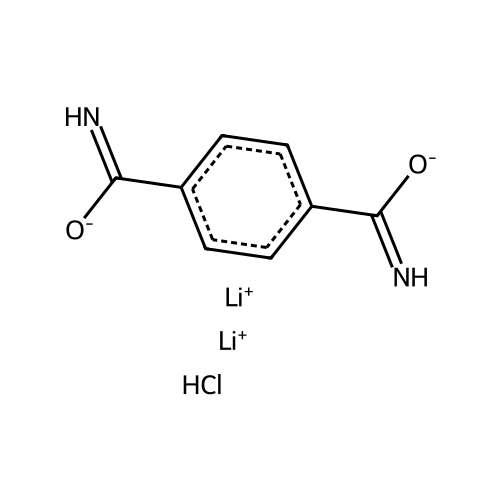 Cl.N=C([O-])c1ccc(C(=N)[O-])cc1.[Li+].[Li+]